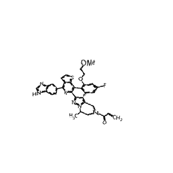 C=CC(=O)N1Cc2cc(-c3nc(-c4ccc5[nH]cnc5c4)c4ccsc4c3-c3c(F)cc(F)cc3OCCOC)nn2C(C)C1